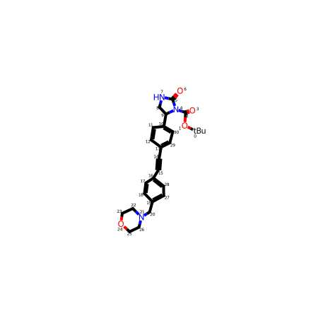 CC(C)(C)OC(=O)N1C(=O)NCC1c1ccc(C#Cc2ccc(CN3CCOCC3)cc2)cc1